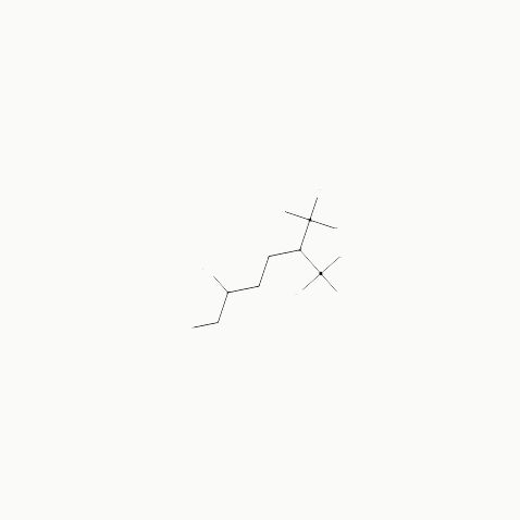 OCC(O)CCC(C(F)(F)F)C(F)(F)F